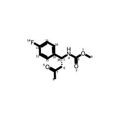 COC(=O)N[C@H](CC(C)=O)c1ccc(F)cc1